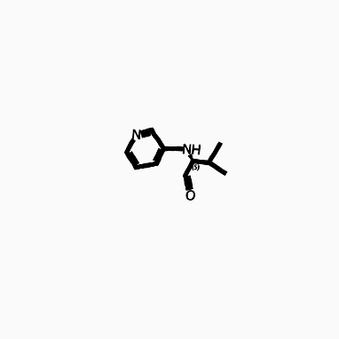 CC(C)[C@@H](C=O)Nc1cccnc1